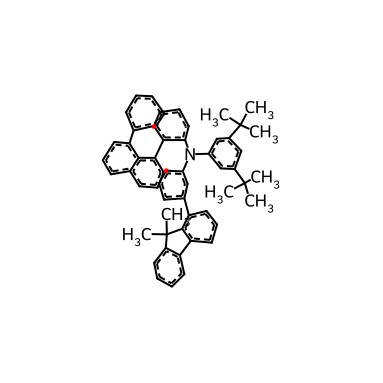 CC(C)(C)c1cc(N(c2cccc(-c3cccc4c3C(C)(C)c3ccccc3-4)c2)c2ccccc2-c2cccc3cccc(-c4ccccc4)c23)cc(C(C)(C)C)c1